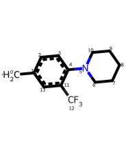 [CH2]c1ccc(N2CCCCC2)c(C(F)(F)F)c1